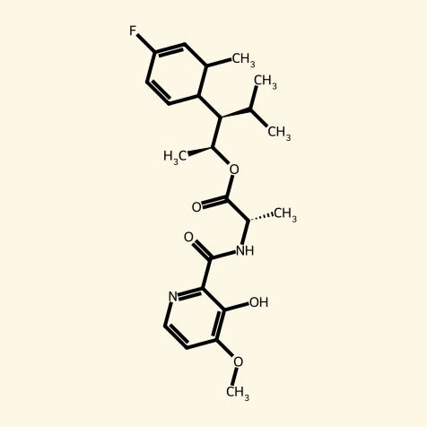 COc1ccnc(C(=O)N[C@@H](C)C(=O)O[C@@H](C)[C@H](C(C)C)C2C=CC(F)=CC2C)c1O